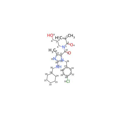 C=C(C)C(=O)N(CCCO)C(=O)c1c(C)nc(NCC2CCCCC2)n1Cc1ccc(Cl)cc1